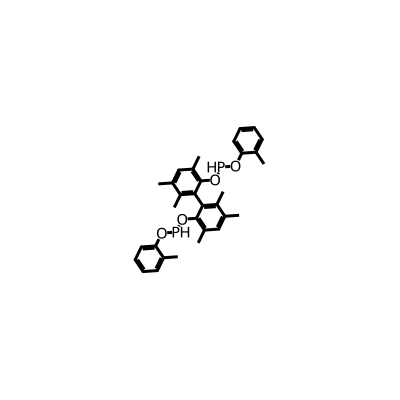 Cc1ccccc1OPOc1c(C)cc(C)c(C)c1-c1c(C)c(C)cc(C)c1OPOc1ccccc1C